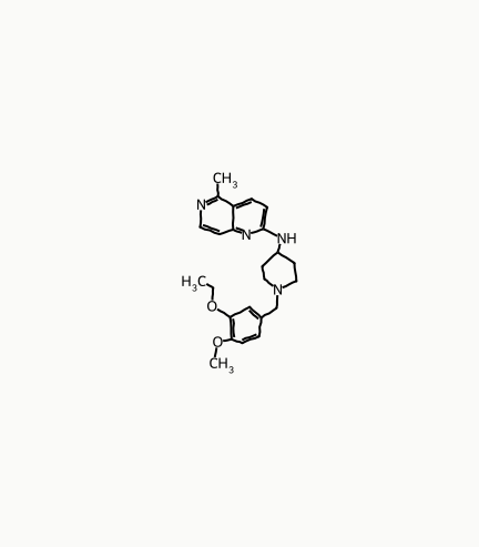 CCOc1cc(CN2CCC(Nc3ccc4c(C)nccc4n3)CC2)ccc1OC